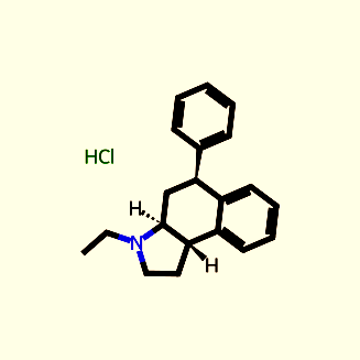 CCN1CC[C@H]2c3ccccc3[C@H](c3ccccc3)C[C@@H]21.Cl